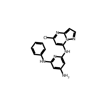 Nc1cc(Nc2ccccc2)nc(Nc2cc(Cl)nc3ccnn23)c1